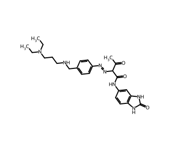 CCN(CC)CCCNCc1ccc(/N=N/C(C(C)=O)C(=O)Nc2ccc3[nH]c(=O)[nH]c3c2)cc1